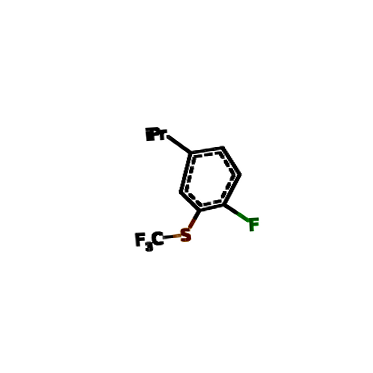 CC(C)c1ccc(F)c(SC(F)(F)F)c1